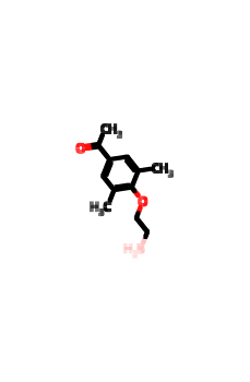 BCCOc1c(C)cc(C(C)=O)cc1C